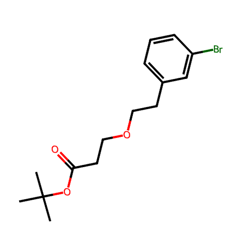 CC(C)(C)OC(=O)CCOCCc1cccc(Br)c1